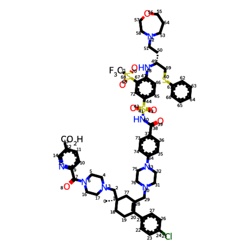 C[C@@]1(CN2CCN(C(=O)c3ccc(C(=O)O)cn3)CC2)CCC(c2ccc(Cl)cc2)=C(CN2CCN(c3ccc(C(=O)NS(=O)(=O)c4ccc(N[C@H](CCN5CCCOCC5)CSc5ccccc5)c(S(=O)(=O)C(F)(F)F)c4)cc3)CC2)C1